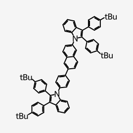 CC(C)(C)c1ccc(-c2c(-c3ccc(C(C)(C)C)cc3)n(-c3ccc(-c4ccc5cc(-n6c(-c7ccc(C(C)(C)C)cc7)c(-c7ccc(C(C)(C)C)cc7)c7ccccc76)ccc5c4)cc3)c3ccccc23)cc1